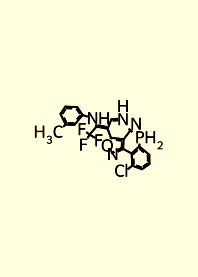 Cc1cccc(N/C(=C(\C=N)c2onc(-c3c(P)cccc3Cl)c2C#N)C(F)(F)F)c1